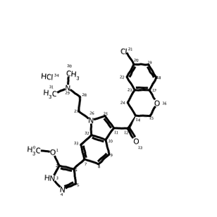 COc1[nH]ncc1-c1ccc2c(C(=O)[C@@H]3COc4ccc(Cl)cc4C3)cn(CCN(C)C)c2c1.Cl